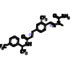 CN(/N=C/c1ccc(/C=C/C(=O)NC(c2cccc(C(F)(F)F)c2)C(F)(F)F)cc1C(F)(F)F)C(N)=O